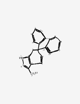 CCOC(=O)c1n[nH]c2c1C=CC(c1ccccc1)(c1ccccc1)C2